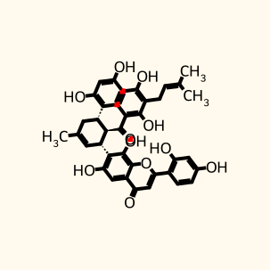 CC(C)=CCc1c(O)ccc(C(=O)[C@@H]2[C@@H](c3ccc(O)cc3O)CC(C)=C[C@H]2c2c(O)cc3c(=O)cc(-c4ccc(O)cc4O)oc3c2O)c1O